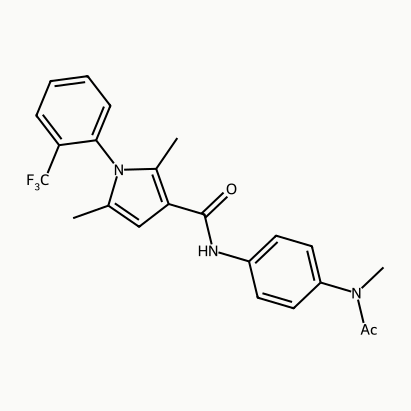 CC(=O)N(C)c1ccc(NC(=O)c2cc(C)n(-c3ccccc3C(F)(F)F)c2C)cc1